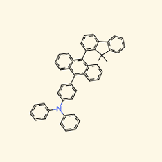 CC1(C)c2ccccc2-c2cccc(-c3c4ccccc4c(-c4ccc(N(c5ccccc5)c5ccccc5)cc4)c4ccccc34)c21